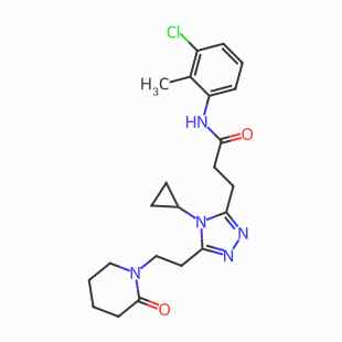 Cc1c(Cl)cccc1NC(=O)CCc1nnc(CCN2CCCCC2=O)n1C1CC1